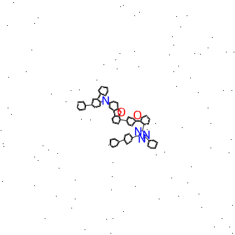 c1ccc(-c2ccc(-c3nc(-c4ccccc4)nc(-c4cccc5oc6cc(-c7cccc8c7oc7ccc(-n9c%10ccccc%10c%10cc(-c%11ccccc%11)ccc%109)cc78)ccc6c45)n3)cc2)cc1